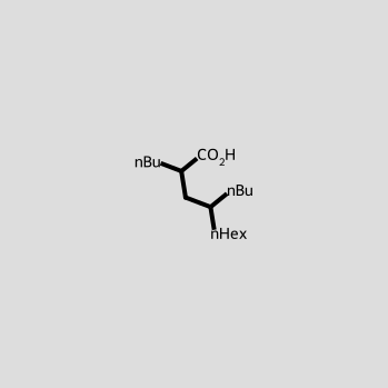 CCCCCCC(CCCC)CC(CCCC)C(=O)O